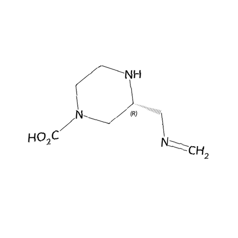 C=NC[C@@H]1CN(C(=O)O)CCN1